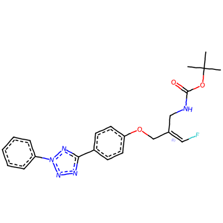 CC(C)(C)OC(=O)NC/C(=C\F)COc1ccc(-c2nnn(-c3ccccc3)n2)cc1